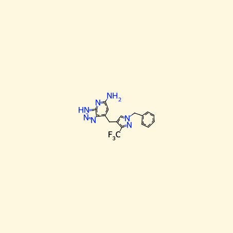 Nc1cc(Cc2cn(Cc3ccccc3)nc2C(F)(F)F)c2nn[nH]c2n1